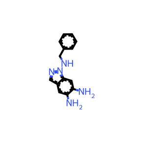 Nc1cc2cnn(NCc3ccccc3)c2cc1N